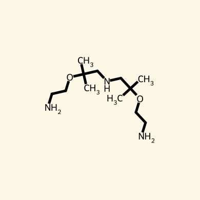 CC(C)(CNCC(C)(C)OCCN)OCCN